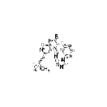 CC1(C#Cc2cc(N(CC(F)F)c3nc4nncn4c4cccc(F)c34)ccn2)CC1